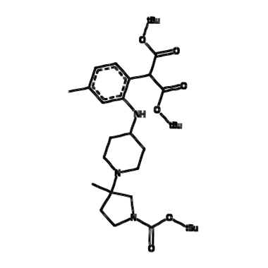 Cc1ccc(C(C(=O)OC(C)(C)C)C(=O)OC(C)(C)C)c(NC2CCN(C3(C)CCN(C(=O)OC(C)(C)C)C3)CC2)c1